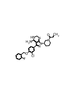 C=CC(=O)N1CCC[C@@H](n2nc(-c3ccc(OCc4ccccc4F)c(Cl)c3)c3c2=NCNC=3N)C1